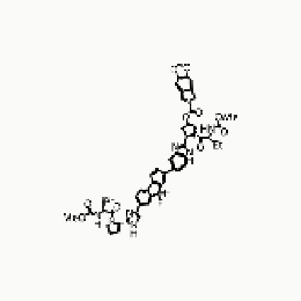 CC[C@H](NC(=O)OC)C(=O)N1CC(OC(=O)N2Cc3cc4c(cc3C2)OCO4)CC1c1nc2cc(-c3ccc4c(c3)C(F)(F)c3cc(-c5c[nH]c([C@@H]6CCCN6C(=O)[C@@H](NC(=O)OC)C(C)C)n5)ccc3-4)ccc2[nH]1